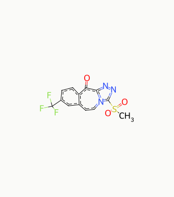 CS(=O)(=O)c1nnc2c(=O)c3ccc(C(F)(F)F)cc3ccn12